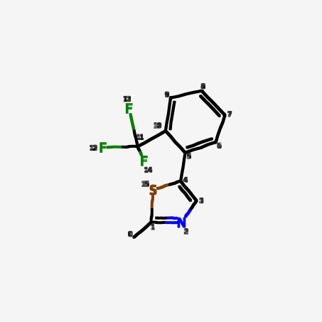 Cc1ncc(-c2ccccc2C(F)(F)F)s1